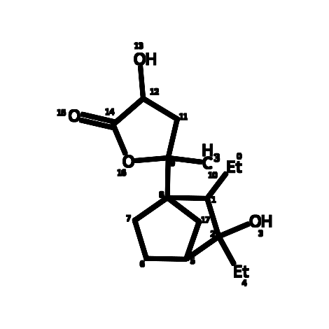 CCC1C(O)(CC)C2CCC1(C1(C)CC(O)C(=O)O1)C2